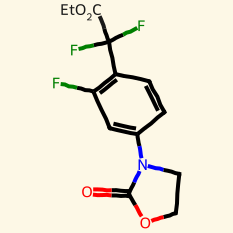 CCOC(=O)C(F)(F)c1ccc(N2CCOC2=O)cc1F